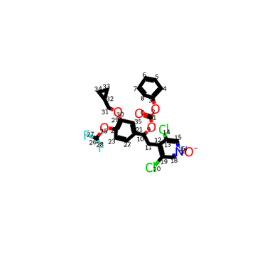 O=C(Oc1ccccc1)OC(Cc1c(Cl)c[n+]([O-])cc1Cl)c1ccc(OC(F)F)c(OCC2CC2)c1